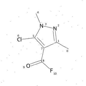 Cc1nn(C)c(Cl)c1C(=O)F